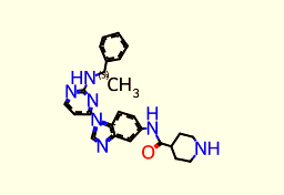 C[C@H](Nc1nccc(-n2cnc3cc(NC(=O)C4CCNCC4)ccc32)n1)c1ccccc1